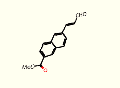 COC(=O)c1ccc2cc(/C=C/C=O)ccc2c1